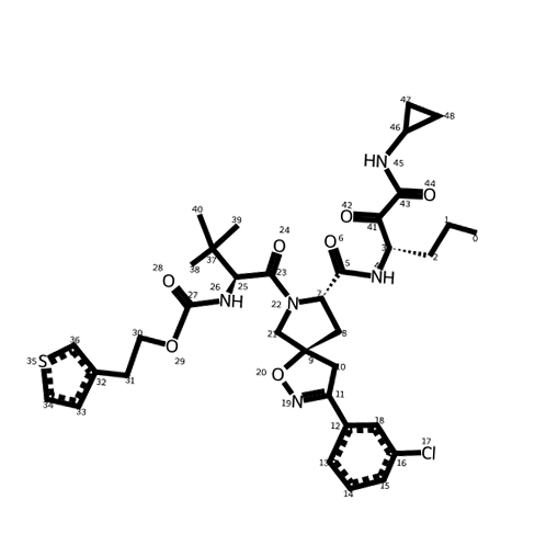 CCC[C@H](NC(=O)[C@@H]1C[C@]2(CC(c3cccc(Cl)c3)=NO2)CN1C(=O)[C@@H](NC(=O)OCCc1ccsc1)C(C)(C)C)C(=O)C(=O)NC1CC1